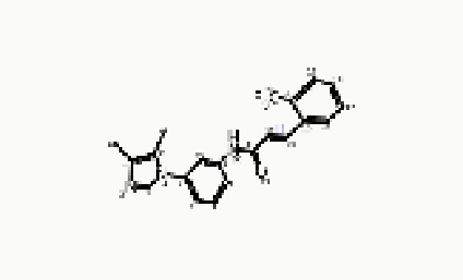 Cc1ncn(-c2cccc(NC(=O)/C=C/c3ccccc3C(F)(F)F)c2)c1C